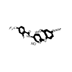 CNc1ccc(Oc2ccc(NC(=O)c3ccc(C(F)(F)F)cc3F)cn2)c(OC)c1.Cl